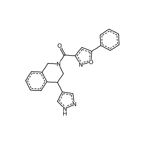 O=C(c1cc(-c2ccccc2)on1)N1Cc2ccccc2C(c2cn[nH]c2)C1